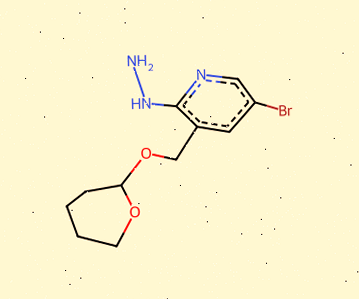 NNc1ncc(Br)cc1COC1CCCCO1